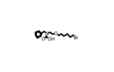 O=C(O)N(CCOCCCCCCBr)Cc1ccccc1